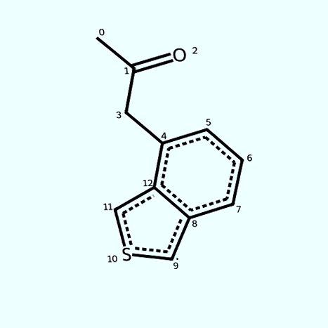 CC(=O)Cc1cccc2[c]scc12